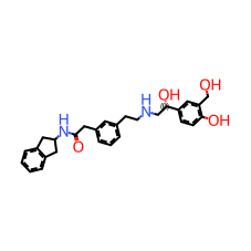 O=C(Cc1cccc(CCNC[C@H](O)c2ccc(O)c(CO)c2)c1)NC1Cc2ccccc2C1